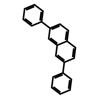 c1ccc(-c2ccc3ccc(-c4ccccc4)cc3c2)cc1